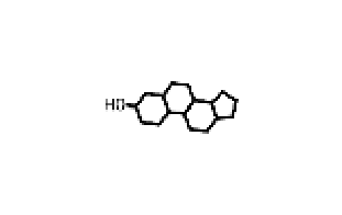 OC1CCC2C(CCC3C4CCCC4CCC23)C1